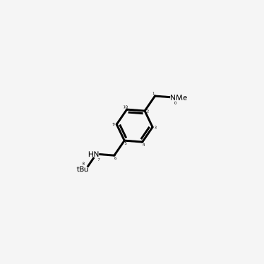 CNCc1ccc(CNC(C)(C)C)cc1